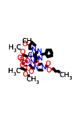 CCCCOC(=O)N1CCN(C(=O)[C@H](CP(=O)(O[C@@H](C)C(=O)OCC)O[C@@H](C)C(=O)OCC)NC(=O)c2cc(N3CC[C@H](OC)C3)nc(-c3ccccc3)n2)CC1